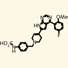 COc1ccc(F)cc1-c1ncnc2[nH]c(C3=CCN(Cc4ccc(NC(=O)O)cc4)CC3)cc12